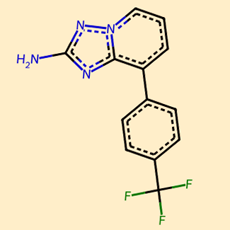 Nc1nc2c(-c3ccc(C(F)(F)F)cc3)cccn2n1